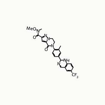 CON(C)C(=O)c1cc2n(n1)CCN(c1ccc(C3N=Cc4cc(C(F)(F)F)ccc4N3)cc1C)C2=O